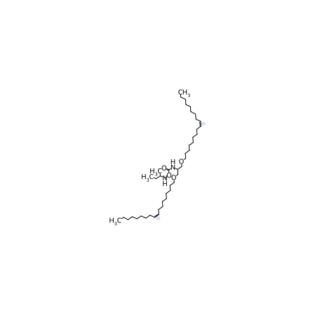 CCCCCCCC/C=C\CCCCCCCCOCC(COCCCCCCCC/C=C\CCCCCCCC)NC(=O)ONC(C)CC